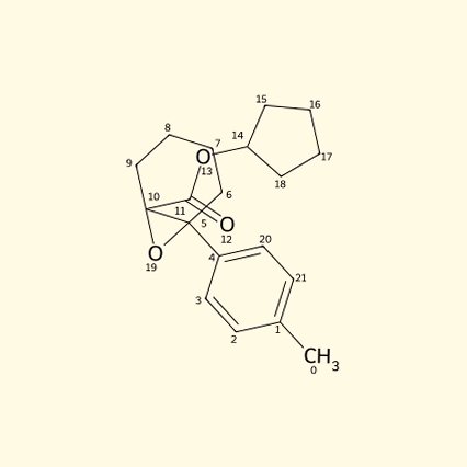 Cc1ccc(C23CCCCC2(C(=O)OC2CCCC2)O3)cc1